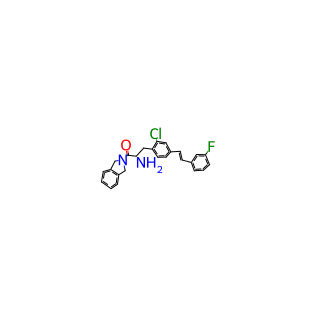 NC(Cc1ccc(C=Cc2cccc(F)c2)cc1Cl)C(=O)N1Cc2ccccc2C1